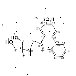 CC(C)C(CO)(CO)NCc1cc2ccccc2c2ccccc12.CS(=O)(=O)O